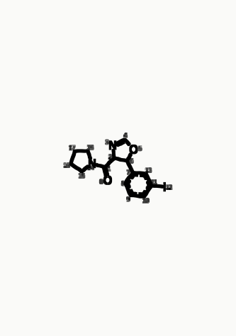 O=C(C1N=COC1c1cccc(I)c1)N1CCCC1